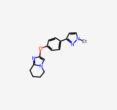 CCn1ccc(-c2ccc(Oc3cn4c(n3)CCCC4)cc2)n1